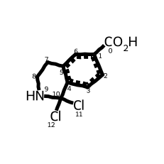 O=C(O)c1ccc2c(c1)CCNC2(Cl)Cl